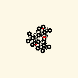 Fc1cccc(F)c1N1c2cc3c(cc2B2c4ccccc4Oc4c2c1c1c2ccccc2n2c5ccccc5c4c12)B1c2cc4c(cc2N(c2c(F)cccc2F)c2c1c(c1c5ccccc5n5c6ccccc6c2c15)O3)N(c1c(F)cccc1F)c1c2c(c3c5ccccc5n5c6ccccc6c1c35)Oc1ccccc1B42